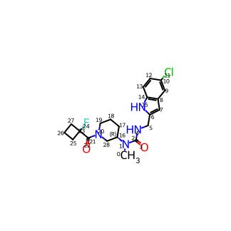 CN(C(=O)NCc1cc2cc(Cl)ccc2[nH]1)[C@@H]1CCCN(C(=O)C2(F)CCC2)C1